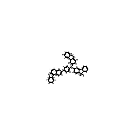 CC1(C)c2ccccc2-c2cc(N(c3ccc(-c4ccc5c(ccc6sc7ccccc7c65)c4)cc3)c3ccc4sc5ccccc5c4c3)ccc21